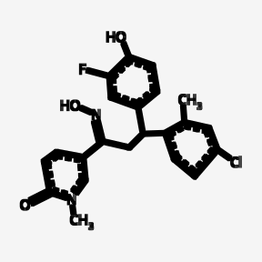 Cc1cc(Cl)ccc1C(CC(=NO)c1ccc(=O)n(C)c1)c1ccc(O)c(F)c1